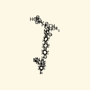 CC[C@@H]([C@H](C)OC(=O)CCCOP(=O)(O)O)n1ncn(-c2ccc(N3CCN(c4ccc(OC[C@@H]5CO[C@@](Cn6cncn6)(c6ccc(F)cc6F)C5)cc4)CC3)cc2)c1=O